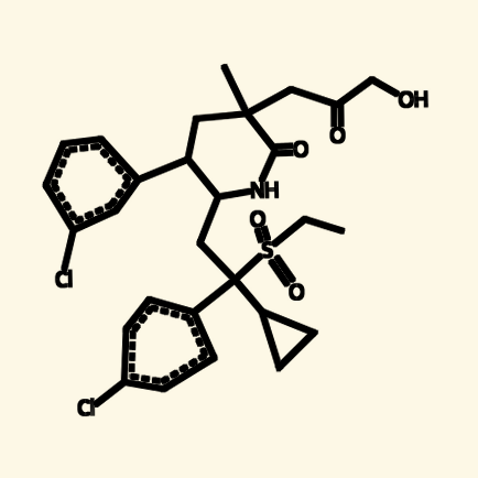 CCS(=O)(=O)C(CC1NC(=O)C(C)(CC(=O)CO)CC1c1cccc(Cl)c1)(c1ccc(Cl)cc1)C1CC1